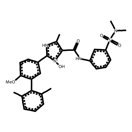 COc1ccc(-c2[nH]c(C)c(C(=O)Nc3cccc(S(=O)(=O)N(C)C)c3)[n+]2O)cc1-c1c(C)cccc1C